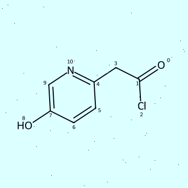 O=C(Cl)Cc1ccc(O)cn1